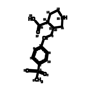 CS(=O)(=O)c1ccc(OC[C@@H]2CNCCN2C(=O)O)cc1